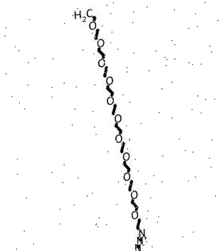 [CH2]COCCOCCOCCOCCOCCOCCOCCOCCOCCOCCOCCN=[N+]=[N-]